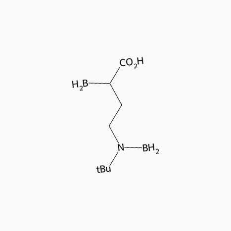 BC(CCN(B)C(C)(C)C)C(=O)O